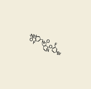 CNC(=O)c1ccc(CN2Cc3ccnc(Oc4ccc(Br)cc4F)c3C2=O)cc1F